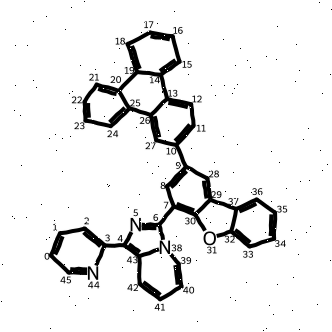 c1ccc(-c2nc(-c3cc(-c4ccc5c6ccccc6c6ccccc6c5c4)cc4c3oc3ccccc34)n3ccccc23)nc1